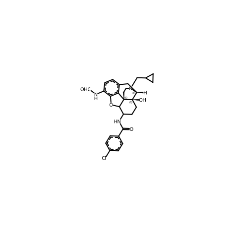 O=CNc1ccc2c3c1OC1C(NC(=O)c4ccc(Cl)cc4)CC[C@@]4(O)[C@@H](C2)N(CC2CC2)CC[C@]314